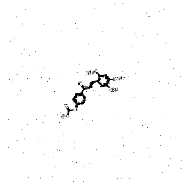 COc1cc(OC)c(C(C)(C)C)cc1/C=C/C(=O)c1ccc(OC(=O)C(C)(C)C)cc1